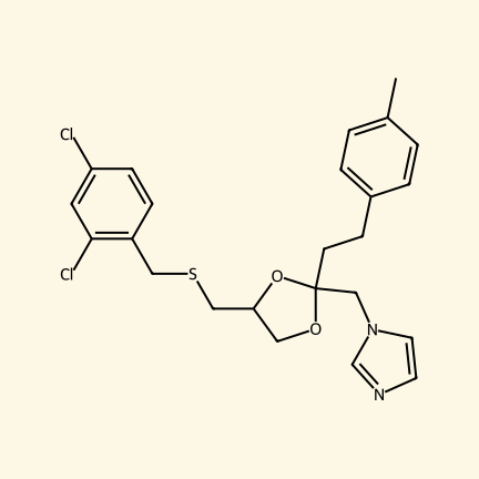 Cc1ccc(CCC2(Cn3ccnc3)OCC(CSCc3ccc(Cl)cc3Cl)O2)cc1